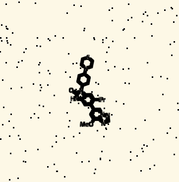 COc1cc(-c2cc3[nH]c(=O)n(C4CCC(N5CCSCC5)CC4)c3cc2C(C)C)cn2ncnc12